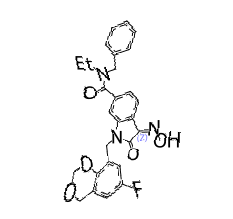 CCN(Cc1ccccc1)C(=O)c1ccc2c(c1)N(Cc1cc(F)cc3c1OCOC3)C(=O)/C2=N\O